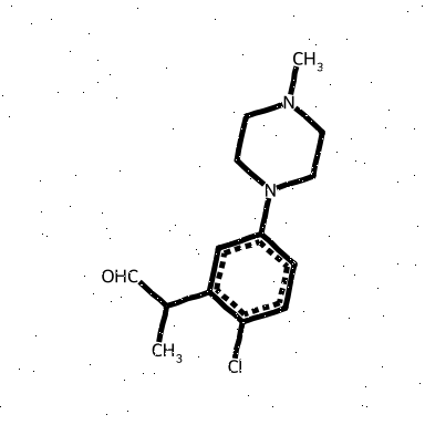 CC(C=O)c1cc(N2CCN(C)CC2)ccc1Cl